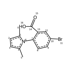 Cc1ccc(C)n1-c1ccc(Br)cc1C(=O)O